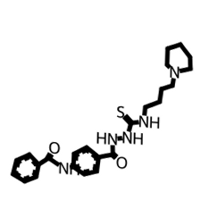 O=C(NNC(=S)NCCCCN1CCCCC1)c1ccc(NC(=O)c2ccccc2)cc1